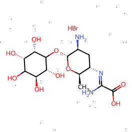 Br.C[C@H]1O[C@H](OC2[C@@H](O)[C@@H](O)C(O)[C@H](O)[C@H]2O)[C@@H](N)C[C@@H]1N=C(N)C(=O)O